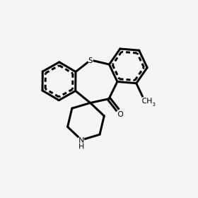 Cc1cccc2c1C(=O)C1(CCNCC1)c1ccccc1S2